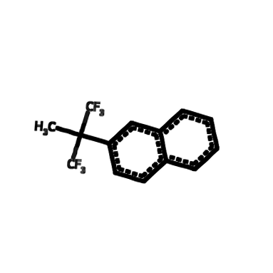 CC(c1ccc2ccccc2c1)(C(F)(F)F)C(F)(F)F